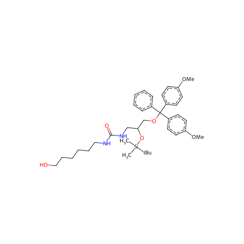 COc1ccc(C(OCC(CNC(=O)NCCCCCCO)O[Si](C)(C)C(C)(C)C)(c2ccccc2)c2ccc(OC)cc2)cc1